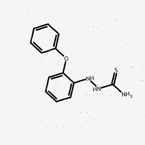 NC(=S)NNc1ccccc1Oc1ccccc1